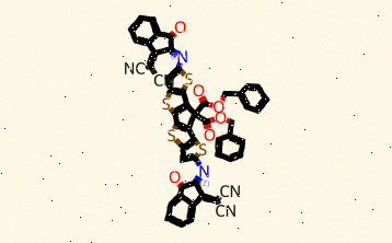 N#CC(C#N)=C1/C(=N/c2cc3sc4c(c3s2)C(C(=O)OCc2ccccc2)(C(=O)OCc2ccccc2)c2c-4sc3cc(/N=C4/C(=O)c5ccccc5C4=C(C#N)C#N)sc23)C(=O)c2ccccc21